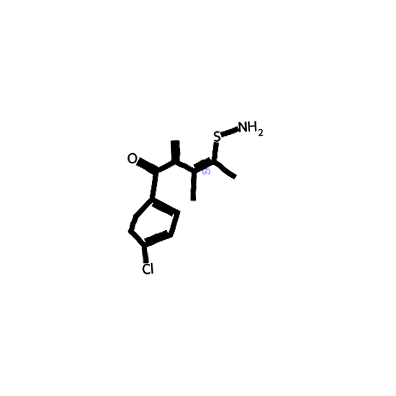 C=C(C(=O)C1=CC=C(Cl)CC1)/C(C)=C(/C)SN